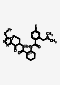 CC(C)CC(NC(=O)[C@@H]1CCCC[C@@H]1NC(=O)c1ccc(F)cc1CN(C)C)C(=O)c1nnc(SC(C)C)o1